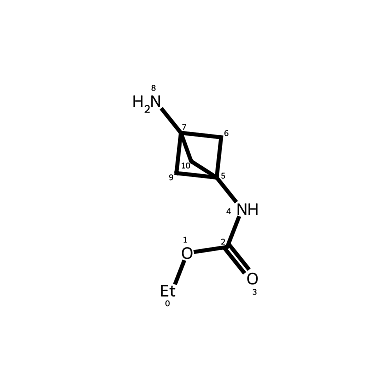 CCOC(=O)NC12CC(N)(C1)C2